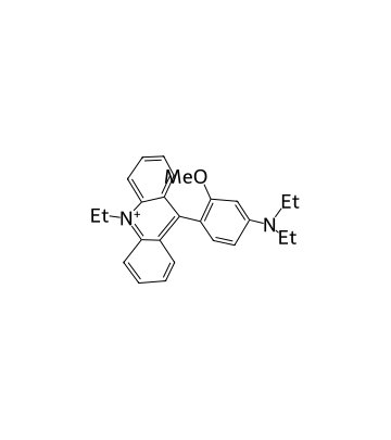 CCN(CC)c1ccc(-c2c3ccccc3[n+](CC)c3ccccc23)c(OC)c1